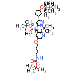 CC(C)(C)OC(=O)NCCCCOc1cncc(N(C(=O)OC(C)(C)C)c2cc([C@H]3CC[C@@H](O[Si](C)(C)C(C)(C)C)C3)nn2C(C)(C)C)c1